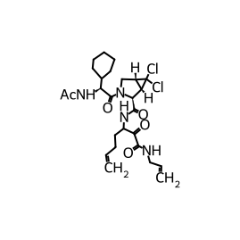 C=CCCC(NC(=O)[C@@H]1[C@@H]2[C@H](CN1C(=O)[C@@H](NC(C)=O)C1CCCCC1)C2(Cl)Cl)C(=O)C(=O)NCC=C